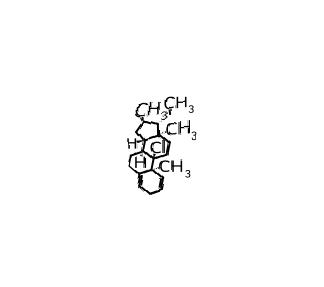 CC[C@H]1[C@H](C)C[C@H]2[C@@H]3CCC4=CCC=C[C@]4(C)[C@@]3(Cl)CC[C@]12C